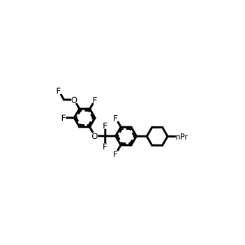 CCCC1CCC(c2cc(F)c(C(F)(F)Oc3cc(F)c(OCF)c(F)c3)c(F)c2)CC1